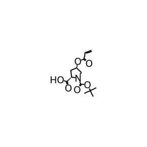 C=CC(=O)O[C@@H]1C[C@H](C(=O)O)N(C(=O)OC(C)(C)C)C1